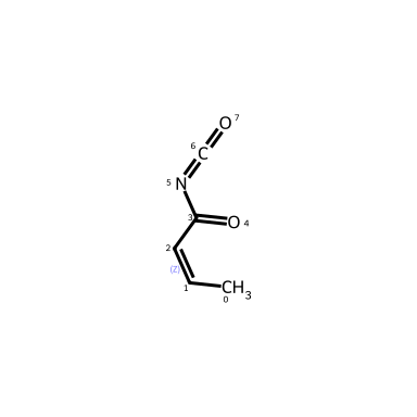 C/C=C\C(=O)N=C=O